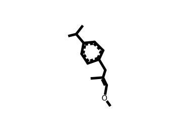 CO/C=C(\C)Cc1ccc(C(C)C)cc1